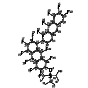 CC(C)[Si](Oc1c(F)c(F)c2c(F)c3c(F)c(F)c(F)c(-c4ccc5cc6[c]c(F)c(F)c(F)c6c(F)c5c4F)c3c(F)c2c1F)(C(C)C)C(C)C